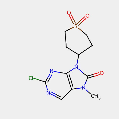 Cn1c(=O)n(C2CCS(=O)(=O)CC2)c2nc(Cl)ncc21